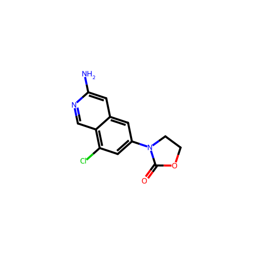 Nc1cc2cc(N3CCOC3=O)cc(Cl)c2cn1